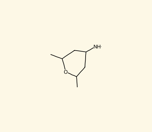 CC1CC([NH])CC(C)O1